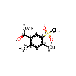 COC(=O)c1cc(S(C)(=O)=O)c(C(C)(C)C)cc1C